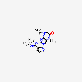 C/N=C(/c1cccnc1)N(C)c1ncc2c(n1)N(C)CC(=O)N2C